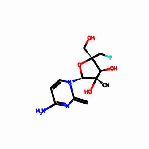 C=C1N=C(N)C=CN1[C@@H]1O[C@@](CO)(CF)[C@@H](O)[C@]1(O)C#N